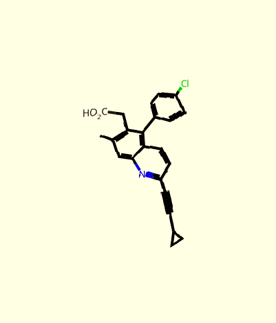 Cc1cc2nc(C#CC3CC3)ccc2c(-c2ccc(Cl)cc2)c1CC(=O)O